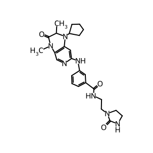 CC1C(=O)N(C)c2cnc(Nc3cccc(C(=O)NCCN4CCNC4=O)c3)cc2N1C1CCCC1